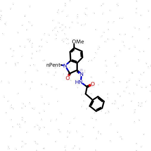 CCCCCN1C(=O)/C(=N\NC(=O)Cc2ccccc2)c2ccc(OC)cc21